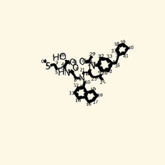 CSCC[C@H](NC(=O)CN(Cc1cccc2ccccc12)C[C@H](CC(C)C)N(C(C)=O)c1ccc(Cc2ccccc2)cc1)C(=O)O